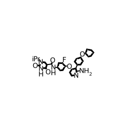 CC(C)n1cc(C(=O)Nc2ccc(Oc3ccnc(N)c3-c3ccc(Oc4ccccc4)cc3)c(F)c2)c(=O)[nH]c1=O